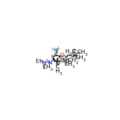 CCN(C)C=Nc1cc(C(F)F)c(OC(CC[Si](C)(C)C)[Si](C)(C)C)cc1C